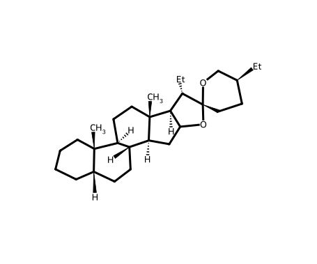 CC[C@H]1CC[C@@]2(OC1)OC1C[C@H]3[C@@H]4CC[C@@H]5CCCC[C@]5(C)[C@H]4CC[C@]3(C)[C@H]1[C@@H]2CC